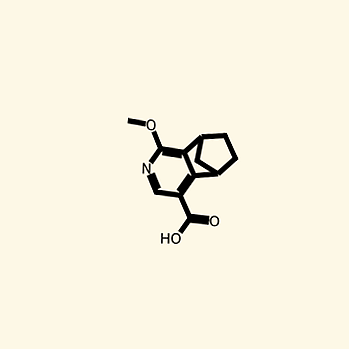 COc1ncc(C(=O)O)c2c1C1CCC2C1